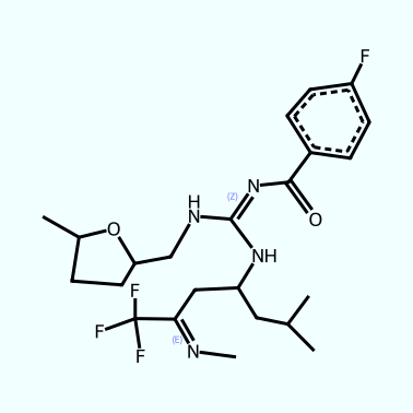 C/N=C(\CC(CC(C)C)N/C(=N\C(=O)c1ccc(F)cc1)NCC1CCC(C)O1)C(F)(F)F